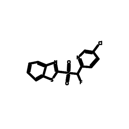 O=S(=O)(c1nc2ccccc2s1)C(F)c1ccc(Cl)cn1